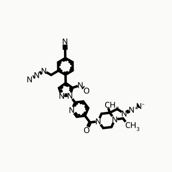 CCN1CCN(C(=O)c2ccc(-n3ncc(-c4ccc(C#N)cc4CN=[N+]=[N-])c3N=O)nc2)CC1(C)CN=[N+]=[N-]